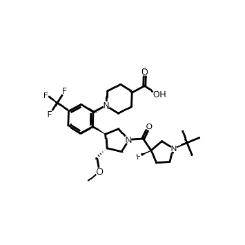 COC[C@H]1CN(C(=O)[C@@]2(F)CCN(C(C)(C)C)C2)C[C@@H]1c1ccc(C(F)(F)F)cc1N1CCC(C(=O)O)CC1